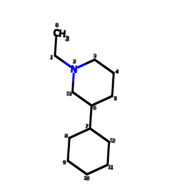 CCN1CCCC(C2CCCCC2)C1